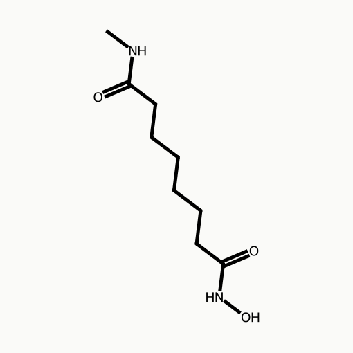 CNC(=O)CCCCCCC(=O)NO